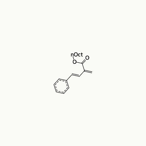 C=C(C=Cc1ccccc1)C(=O)OCCCCCCCC